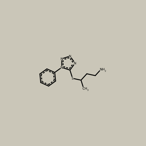 CC(CCN)Sc1nnnn1-c1ccccc1